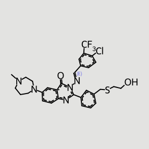 CN1CCCN(c2ccc3nc(-c4cccc(CSCCO)c4)n(/N=C/c4ccc(Cl)c(C(F)(F)F)c4)c(=O)c3c2)CC1